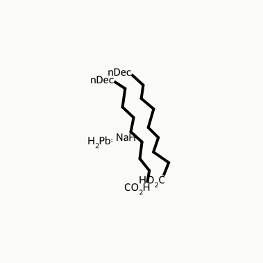 CCCCCCCCCCCCCCCCCC(=O)O.CCCCCCCCCCCCCCCCCC(=O)O.[NaH].[PbH2]